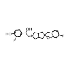 Oc1ccc(C(O)CN2CC3CC(O)(Cc4ccc(F)cc4)CC3C2)cc1F